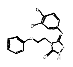 O=c1[nH]sc(=Nc2ccc(Cl)c(Cl)c2)n1CCOc1ccccc1